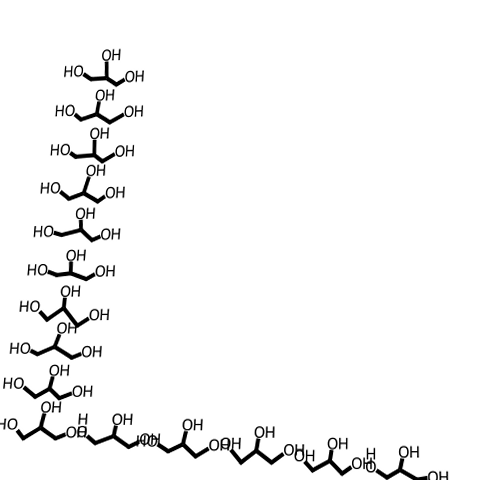 OCC(O)CO.OCC(O)CO.OCC(O)CO.OCC(O)CO.OCC(O)CO.OCC(O)CO.OCC(O)CO.OCC(O)CO.OCC(O)CO.OCC(O)CO.OCC(O)CO.OCC(O)CO.OCC(O)CO.OCC(O)CO.OCC(O)CO